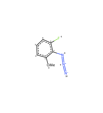 COc1cccc(F)c1N=[N+]=[N-]